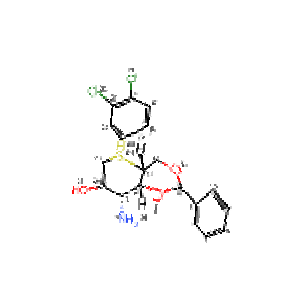 N[C@H]1[C@H]2OC(c3ccccc3)OC[C@H]2[SH](c2ccc(Cl)c(Cl)c2)C[C@@H]1O